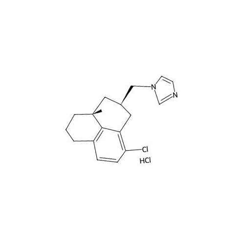 C[C@]12CCCc3ccc(Cl)c(c31)C[C@H](Cn1ccnc1)C2.Cl